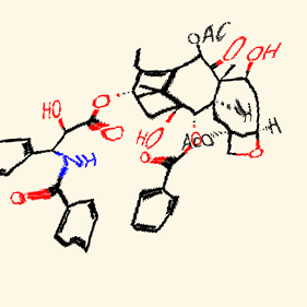 CC(=O)OC1C(=O)[C@@]2(C)[C@H]([C@H](OC(=O)c3ccccc3)[C@]3(O)C[C@H](OC(=O)[C@H](O)[C@@H](NC(=O)c4ccccc4)c4ccccc4)C(C)=C1C3(C)C)[C@]1(OC(C)=O)CO[C@@H]1C[C@@H]2O